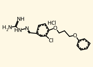 Cl.N=C(N)NN=Cc1ccc(OCCCOc2ccccc2)c(Cl)c1